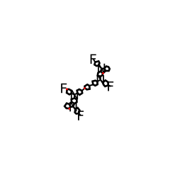 Fc1ccc(N(c2ccc(-c3ccc(-c4ccc(N(c5ccc(F)cc5)c5ccc6c(c5)c5ccccc5n6-c5ccc(F)cc5)cc4)cc3)cc2)c2ccc3c(c2)c2ccccc2n3-c2ccc(F)cc2)cc1